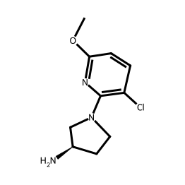 COc1ccc(Cl)c(N2CC[C@@H](N)C2)n1